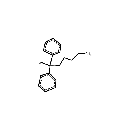 [Li][C](CCCCC)(c1ccccc1)c1ccccc1